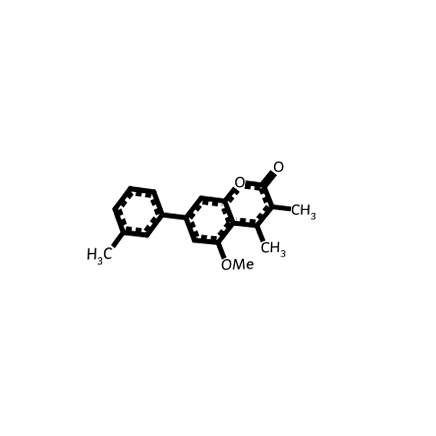 COc1cc(-c2cccc(C)c2)cc2oc(=O)c(C)c(C)c12